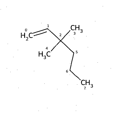 C=CC(C)(C)CCC